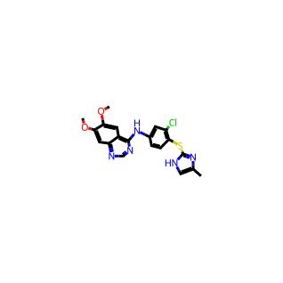 COc1cc2ncnc(Nc3ccc(Sc4nc(C)c[nH]4)c(Cl)c3)c2cc1OC